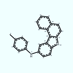 Cc1ccc(Nc2ccc3sc4ccc5ccccc5c4c3c2)cc1